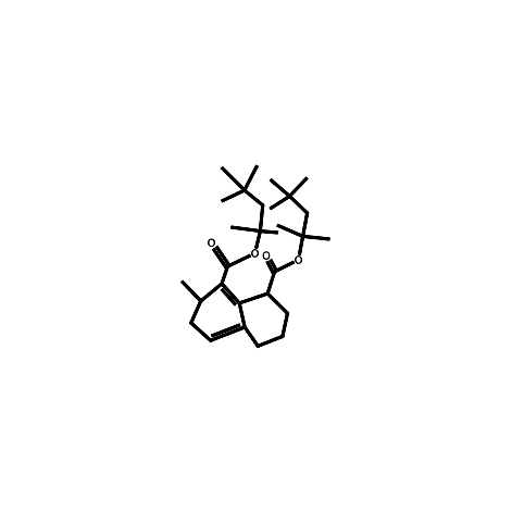 CC1CC=C2CCCC(C(=O)OC(C)(C)CC(C)(C)C)C2=C1C(=O)OC(C)(C)CC(C)(C)C